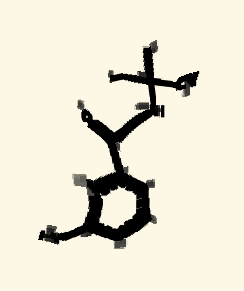 CC(C)(C#N)NC(=O)c1cccc(S)n1